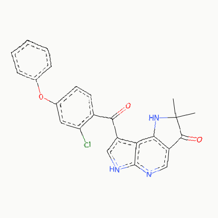 CC1(C)Nc2c(cnc3[nH]cc(C(=O)c4ccc(Oc5ccccc5)cc4Cl)c23)C1=O